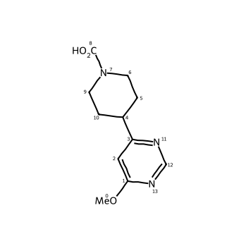 COc1cc(C2CCN(C(=O)O)CC2)ncn1